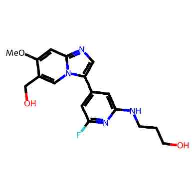 COc1cc2ncc(-c3cc(F)nc(NCCCO)c3)n2cc1CO